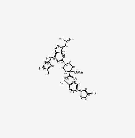 CO[C@]1(C(=O)N[C@@H](C)c2cnc(-n3cc(F)cn3)cn2)CC[C@H](c2nc(Nc3cc(C)[nH]n3)c3cnn(CC(F)F)c3n2)CC1